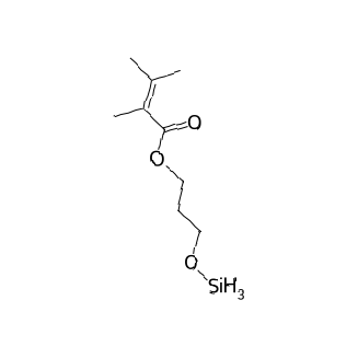 CC(C)=C(C)C(=O)OCCCO[SiH3]